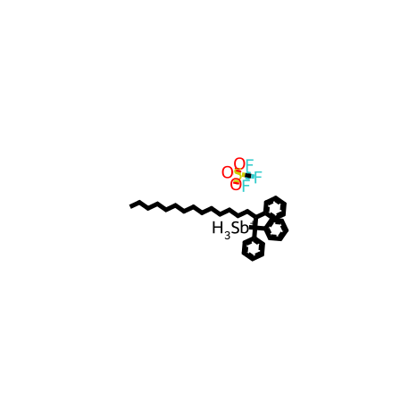 CCCCCCCCCCCCCCC(c1ccccc1)[C]([SbH3+])(c1ccccc1)c1ccccc1.O=S(=O)([O-])C(F)(F)F